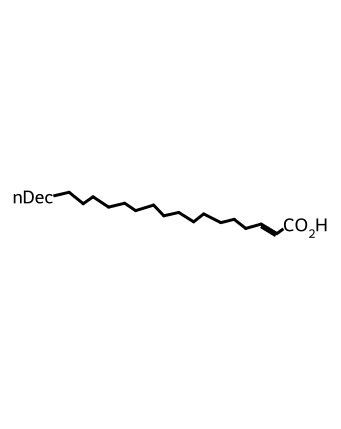 CCCCCCCCCCCCCCCCCCCCCCCCC=CC(=O)O